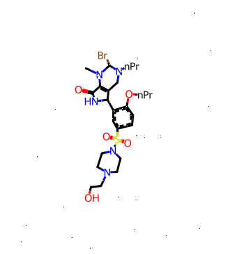 CCCOc1ccc(S(=O)(=O)N2CCN(CCO)CC2)cc1C1NC(=O)C2=C1CN(CCC)C(Br)N2C